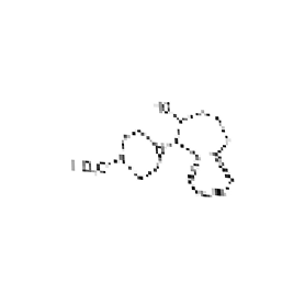 O=C(O)N1CCN(C2c3ccccc3CCCC2O)CC1